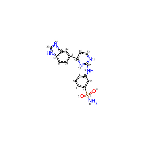 NS(=O)(=O)c1cccc(Nc2nccc(-c3ccc4[nH]cnc4c3)n2)c1